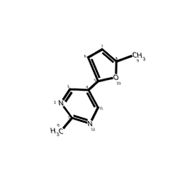 Cc1ncc(-c2ccc(C)o2)cn1